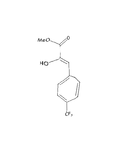 COC(=O)/C(O)=C/c1ccc(C(F)(F)F)cc1